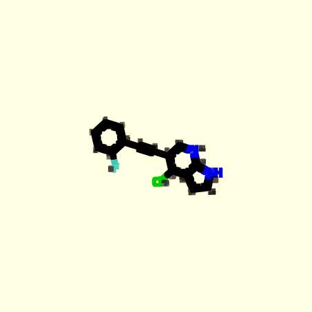 Fc1ccccc1C#Cc1cnc2[nH]ccc2c1Cl